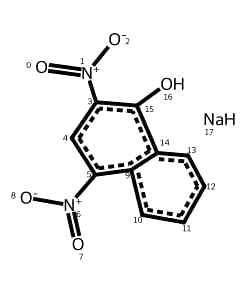 O=[N+]([O-])c1cc([N+](=O)[O-])c2ccccc2c1O.[NaH]